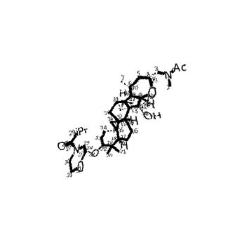 CC(=O)N(C)C[C@H]1C[C@@H](C)[C@H]2[C@H](O1)[C@H](O)[C@@]1(C)[C@@H]3CC[C@H]4C(C)(C)[C@@H](O[C@H]5CN(C(=O)C(C)C)CCO5)CC[C@@]45C[C@@]35CC[C@]21C